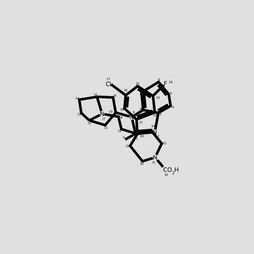 Cc1nc2ccccc2n1C1CC2CCC(C1)N2CCC1(c2cc(F)cc(Cl)c2)CCN(C(=O)O)CC1